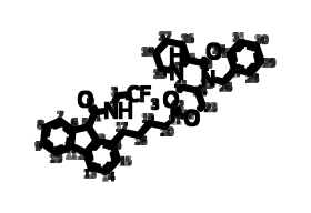 O=C(NCC(F)(F)F)C1c2ccccc2-c2cccc(CCCC[P@]3OC[C@@H](N(Cc4ccccc4)C(=O)C4CCCCN4)CO3)c21